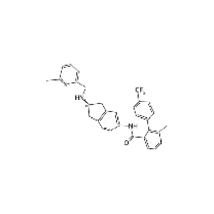 Cc1cccc(CN[C@@H]2Cc3ccc(NC(=O)c4cccc(C)c4-c4ccc(C(F)(F)F)cc4)cc3C2)n1